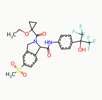 CCOC1(C(=O)N2Cc3cc(S(C)(=O)=O)ccc3C2C(=O)Nc2ccc(C(O)(C(F)(F)F)C(F)(F)F)cc2)CC1